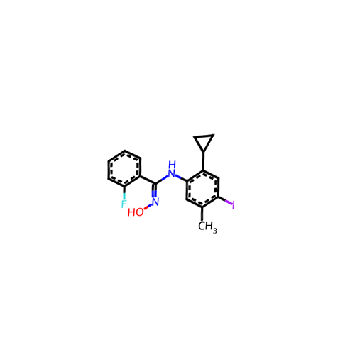 Cc1cc(NC(=NO)c2ccccc2F)c(C2CC2)cc1I